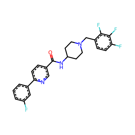 O=C(NC1CCN(Cc2ccc(F)c(F)c2F)CC1)c1ccc(-c2cccc(F)c2)nc1